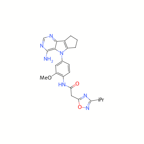 COc1cc(-n2c3c(c4ncnc(N)c42)CCC3)ccc1NC(=O)Cc1nc(C(C)C)no1